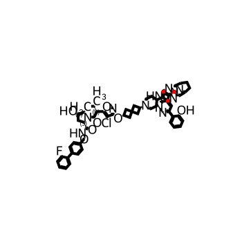 CC(C)[C@@H](C(=O)N1C[C@H](O)C[C@H]1C(=O)NOc1ccc(-c2ccccc2F)cc1)c1onc(O[C@H]2CC3(C2)C[C@H](N2CCC(c4cnc(N5C6CCC5CN(c5c[nH]c7nnc(-c8ccccc8O)cc57)C6)nc4)CC2)C3)c1Cl